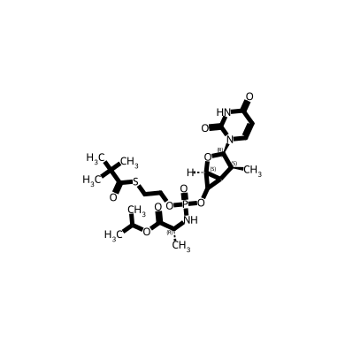 CC(C)OC(=O)[C@@H](C)NP(=O)(OCCSC(=O)C(C)(C)C)OC1C2[C@@H]1O[C@@H](n1ccc(=O)[nH]c1=O)[C@H]2C